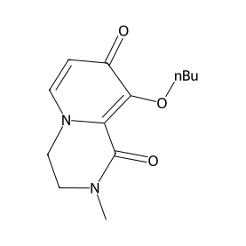 CCCCOc1c2n(ccc1=O)CCN(C)C2=O